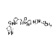 COCCN1CCN(c2ccc(NC(=O)C=Cc3cccc(NC(=O)c4cccc(C(F)(F)F)c4)c3)nc2)CC1